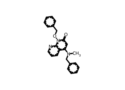 CN(Cc1ccccc1)c1cc(=O)n(OCc2ccccc2)c2ncccc12